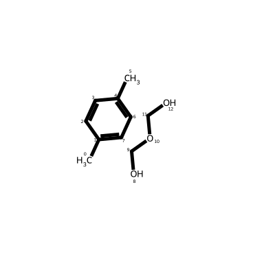 Cc1ccc(C)cc1.OCOCO